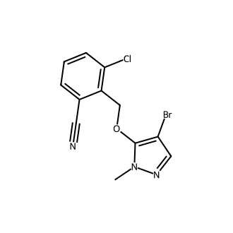 Cn1ncc(Br)c1OCc1c(Cl)cccc1C#N